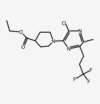 CCOC(=O)C1CCN(c2nc(CCC(F)(F)F)c(C)nc2Cl)CC1